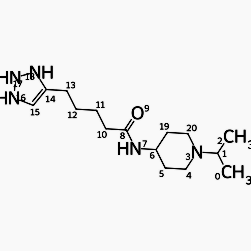 CC(C)N1CCC(NC(=O)CCCCC2=CNNN2)CC1